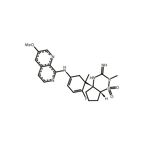 COc1cnc2c(NC3=CC=C(F)C(C)([C@]45CCC[C@H]4S(=O)(=O)N(C)C(=N)N5)C3)nccc2c1